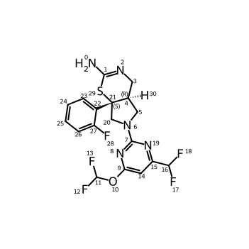 NC1=NC[C@H]2CN(c3nc(OC(F)F)cc(C(F)F)n3)C[C@]2(c2ccccc2F)S1